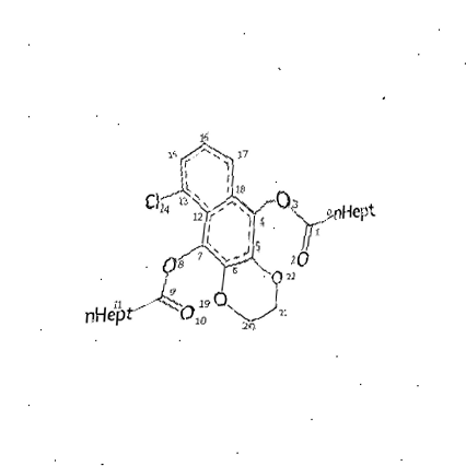 CCCCCCCC(=O)Oc1c2c(c(OC(=O)CCCCCCC)c3c(Cl)cccc13)OCCO2